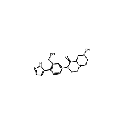 CCCOc1cc(N2CCN3CCN(C#N)CC3C2=O)ccc1-c1ccn[nH]1